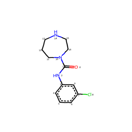 O=C(Nc1cccc(Cl)c1)N1CCCNCC1